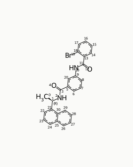 C[C@@H](NC(=O)c1cccc(NC(=O)c2ccccc2Br)c1)c1cccc2ccccc12